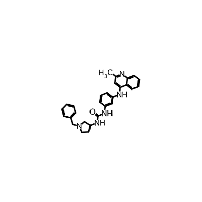 Cc1cc(Nc2cccc(NC(=O)NC3CCN(Cc4ccccc4)C3)c2)c2ccccc2n1